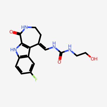 O=C(NC=C1CCNC(=O)c2[nH]c3ccc(F)cc3c21)NCCO